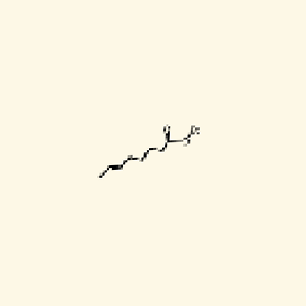 C/C=C/CCCCC(=O)OCC